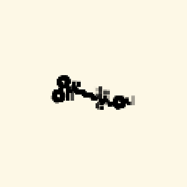 O=C(CCCCCNC(=O)NCc1ccc(Cl)cc1)Nc1ccccc1-c1ccccc1